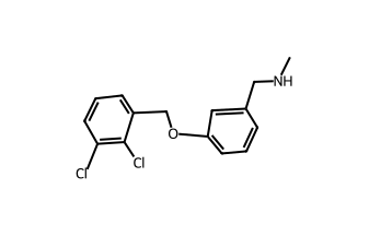 CNCc1cccc(OCc2cccc(Cl)c2Cl)c1